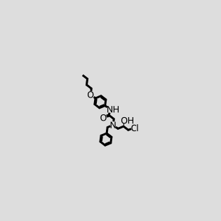 CCCCOc1ccc(NC(=O)CN(Cc2ccccc2)C[C@H](O)CCl)cc1